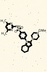 CON1CCN(c2cc3c(n2-c2ccc(S(=O)(=O)Nc4nc(C)cc(C)n4)cc2)CCCC3)CC1